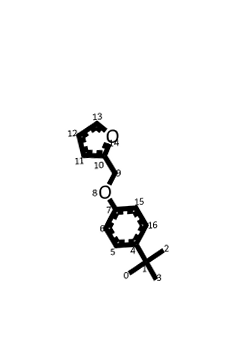 CC(C)(C)c1ccc(OCc2ccco2)cc1